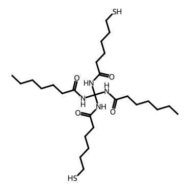 CCCCCCC(=O)NC(NC(=O)CCCCCC)(NC(=O)CCCCCS)NC(=O)CCCCCS